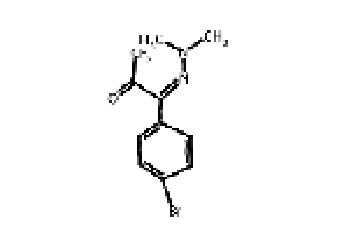 CN(C)/N=C(\C(=O)C(F)(F)F)c1ccc(Br)cc1